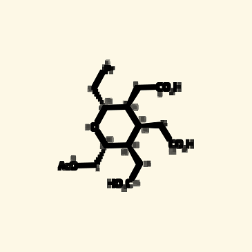 CC(=O)OC[C@@H]1O[C@H](CC(C)C)[C@@H](CC(=O)O)[C@@H](CC(=O)O)[C@H]1CC(=O)O